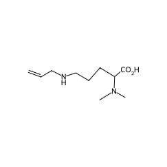 C=CCNCCCC(C(=O)O)N(C)C